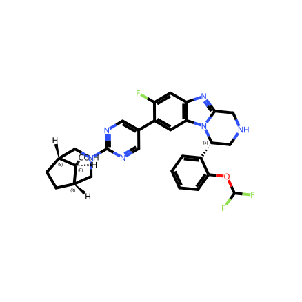 O=C(O)[C@@H]1[C@@H]2CC[C@H]1CN(c1ncc(-c3cc4c(cc3F)nc3n4[C@@H](c4ccccc4OC(F)F)CNC3)cn1)C2